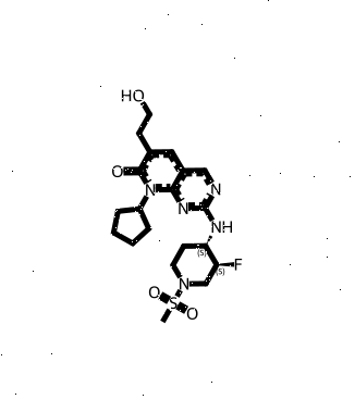 CS(=O)(=O)N1CC[C@H](Nc2ncc3cc(CCO)c(=O)n(C4CCCC4)c3n2)[C@@H](F)C1